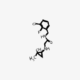 CC1(C)CC1NCC(=O)NCc1cccc(Cl)c1F